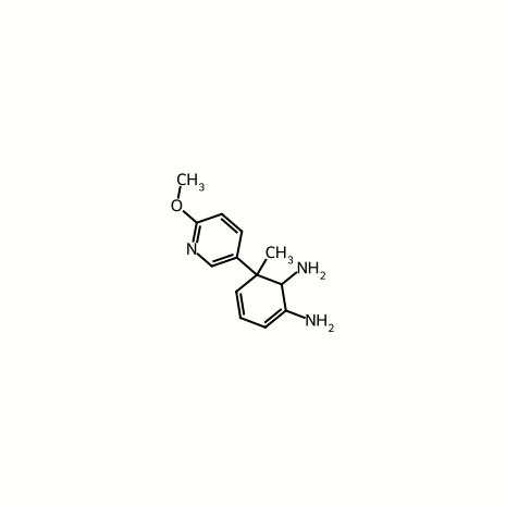 COc1ccc(C2(C)C=CC=C(N)C2N)cn1